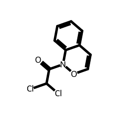 O=C(C(Cl)Cl)N1OC=Cc2ccccc21